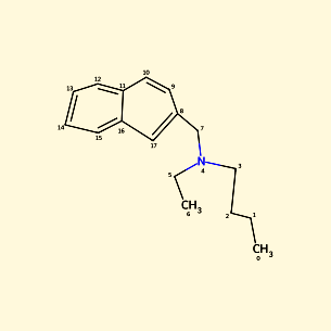 CCCCN(CC)Cc1ccc2ccccc2c1